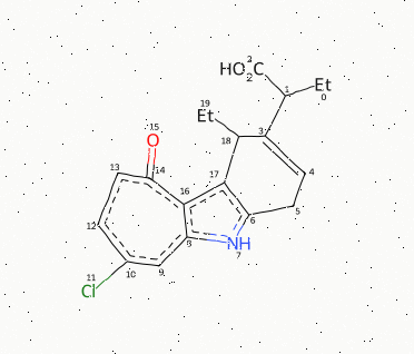 CCC(C(=O)O)C1=CCc2[nH]c3cc(Cl)ccc(=O)c3c2C1CC